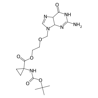 CC(C)(C)OC(=O)NC1(C(=O)OCCOCN2C=NC3C(=O)NC(N)=NC32)CC1